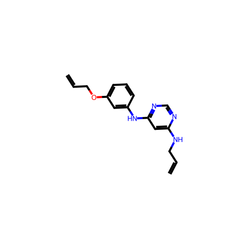 C=CCNc1cc(Nc2cccc(OCC=C)c2)ncn1